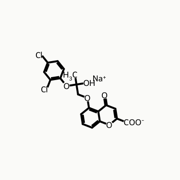 CC(O)(COc1cccc2oc(C(=O)[O-])cc(=O)c12)Oc1ccc(Cl)cc1Cl.[Na+]